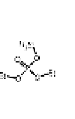 CCOP(=O)(O[SiH3])OCC